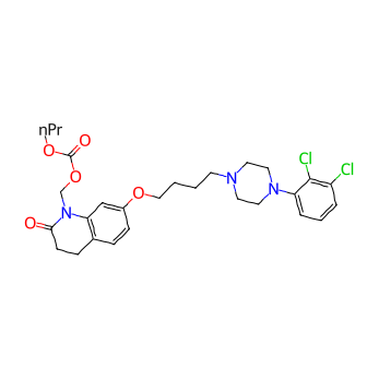 CCCOC(=O)OCN1C(=O)CCc2ccc(OCCCCN3CCN(c4cccc(Cl)c4Cl)CC3)cc21